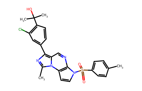 Cc1ccc(S(=O)(=O)n2ccc3c2ncc2c(-c4ccc(C(C)(C)O)c(Cl)c4)nc(C)n23)cc1